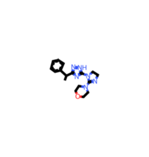 CC(c1c[c]ccc1)c1n[nH]c(N2CCN=C2N2CCOCC2)n1